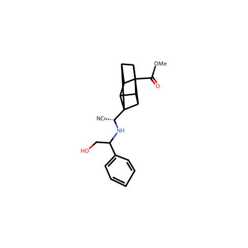 COC(=O)C12C3C4C1C1C2C3C41[C@@H](C#N)NC(CO)c1ccccc1